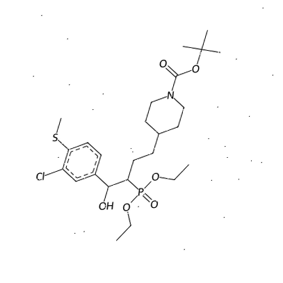 CCOP(=O)(OCC)C(CCC1CCN(C(=O)OC(C)(C)C)CC1)C(O)c1ccc(SC)c(Cl)c1